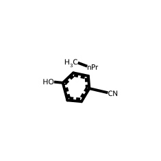 CCCC.N#Cc1ccc(O)cc1